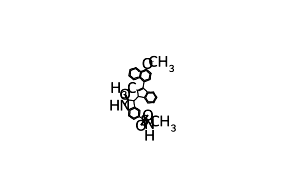 CNS(=O)(=O)c1ccc2c(c1)C(C1C(C)=C(c3ccc(OC)c4ccccc34)c3ccccc31)C(=O)N2